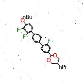 CCCCOc1ccc(-c2ccc(-c3ccc(C4OCC(CCC)CO4)cc3F)cc2)c(F)c1F